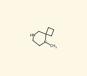 CN1CCNCC12CCC2